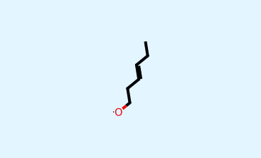 CCC=CCC[O]